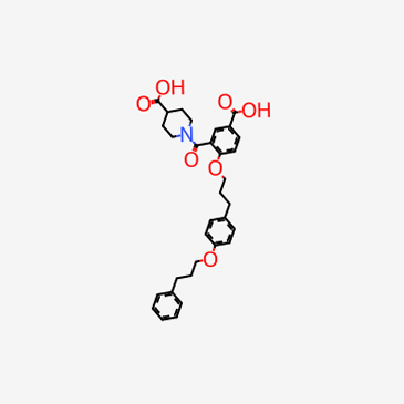 O=C(O)c1ccc(OCCCc2ccc(OCCCc3ccccc3)cc2)c(C(=O)N2CCC(C(=O)O)CC2)c1